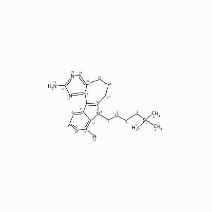 C[Si](C)(C)CCOCn1c2c(c3cccc(Br)c31)-c1nc(N)ncc1CCC2